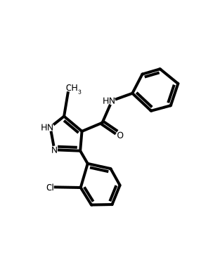 Cc1[nH]nc(-c2ccccc2Cl)c1C(=O)Nc1ccccc1